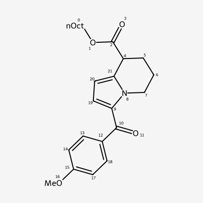 CCCCCCCCOC(=O)C1CCCn2c(C(=O)c3ccc(OC)cc3)ccc21